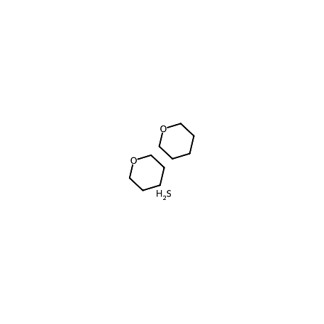 C1CCOCC1.C1CCOCC1.S